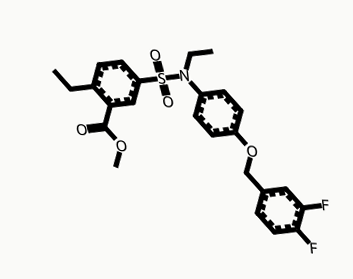 CCc1ccc(S(=O)(=O)N(CC)c2ccc(OCc3ccc(F)c(F)c3)cc2)cc1C(=O)OC